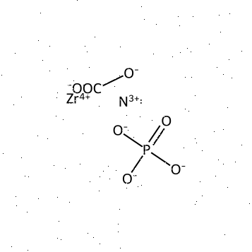 O=C([O-])[O-].O=P([O-])([O-])[O-].[N+3].[Zr+4]